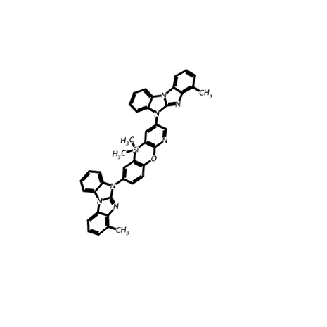 Cc1cccc2c1nc1n(-c3ccc4c(c3)[Si](C)(C)c3cc(-n5c6ccccc6n6c7cccc(C)c7nc56)cnc3O4)c3ccccc3n21